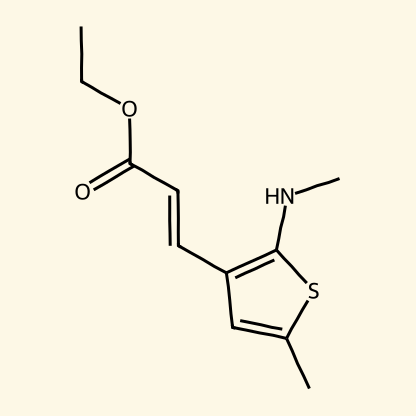 CCOC(=O)/C=C/c1cc(C)sc1NC